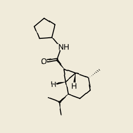 CC(C)[C@@H]1CC[C@@H](C)[C@H]2[C@H](C(=O)NC3CCCC3)[C@H]21